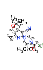 CC(C)[C@@H]1CN(c2nc(C3CC3)c3c(c2C#N)CC(C)(C)OC3)CCN1C(=O)CCl